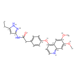 CCc1cc(NC(=O)Cc2ccc(Oc3ccnc4cc(OC)c(OC)cc34)cc2)n[nH]1